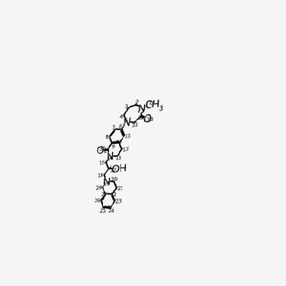 CN1CCCN(c2ccc3c(c2)CCN(CC(O)CN2CCc4ccccc4C2)C3=O)CC1=O